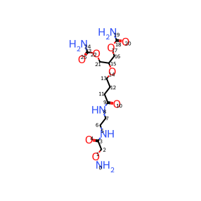 NOCC(=O)NCCNC(=O)CCCOC(COC(N)=O)COC(N)=O